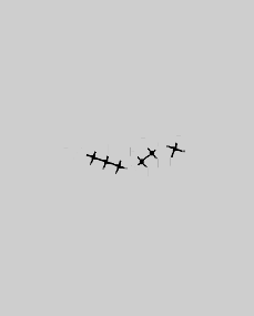 FC(F)(I)OC(F)(F)C(F)(F)OC(F)(F)C(F)(F)C(F)(F)C(F)(F)F